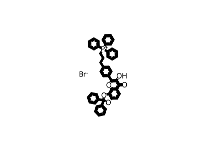 O=c1c(O)c(-c2ccc(CCC[P+](c3ccccc3)(c3ccccc3)c3ccccc3)cc2)oc2c3c(ccc12)OC(c1ccccc1)(c1ccccc1)O3.[Br-]